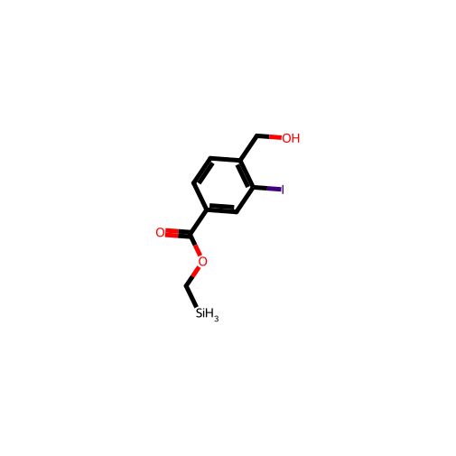 O=C(OC[SiH3])c1ccc(CO)c(I)c1